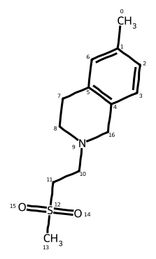 Cc1ccc2c(c1)CCN(CCS(C)(=O)=O)C2